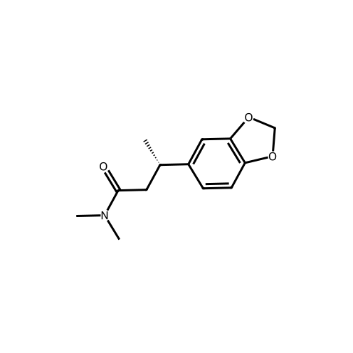 C[C@@H](CC(=O)N(C)C)c1ccc2c(c1)OCO2